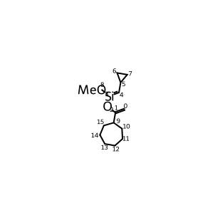 C=C(O[Si](=CC1CC1)OC)C1CCCCCC1